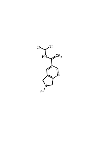 C=C(NC(CC)CC)c1cnc2c(c1)CN(CC)C2